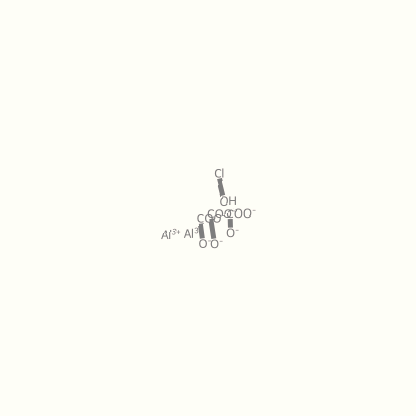 O=C([O-])[O-].O=C([O-])[O-].O=C([O-])[O-].OCl.[Al+3].[Al+3]